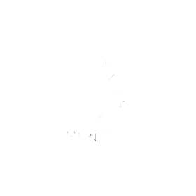 CC1(C)Cc2cc(Oc3ccc(N=C=O)cc3)ccc2O1